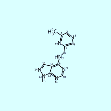 Cc1cncc(CNc2ncnc3[nH]ncc23)n1